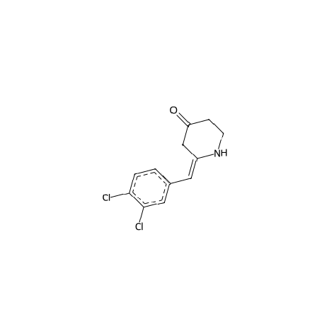 O=C1CCN/C(=C/c2ccc(Cl)c(Cl)c2)C1